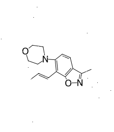 CC=Cc1c(N2CCOCC2)ccc2c(C)noc12